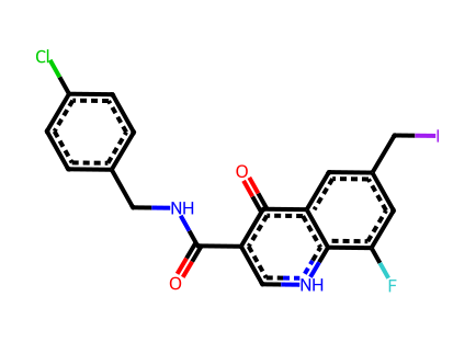 O=C(NCc1ccc(Cl)cc1)c1c[nH]c2c(F)cc(CI)cc2c1=O